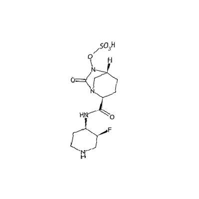 O=C(N[C@@H]1CCNC[C@@H]1F)[C@@H]1CC[C@@H]2CN1C(=O)N2OS(=O)(=O)O